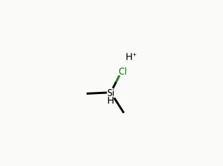 C[SiH](C)Cl.[H+]